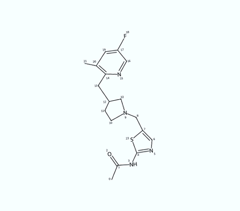 CC(=O)Nc1ncc(CN2CCC(Cc3ncc(F)cc3C)C2)s1